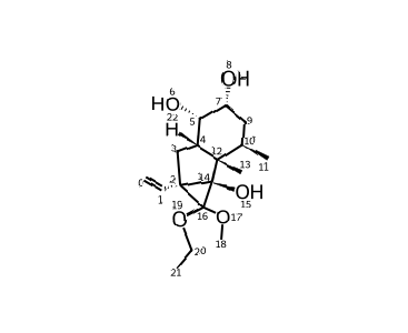 C=C[C@]12C[C@@H]3[C@H](O)[C@H](O)C[C@@H](C)[C@]3(C)[C@]1(O)C2(OC)OCC